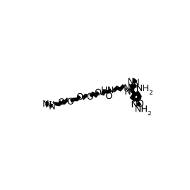 [N-]=[N+]=NCCOCCOCCOCCOCCOCCC(=O)NCCCCn1nc(-c2ccc3oc(N)nc3c2)c2c(N)ncnc21